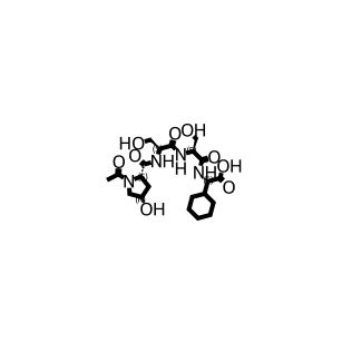 CC(=O)N1C[C@H](O)C[C@H]1C(=O)N[C@@H](CO)C(=O)N[C@@H](CO)C(=O)N[C@H](C(=O)O)C1CCCCC1